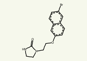 O=C1NCCN1CCOc1ccc2cc(Br)ccc2c1